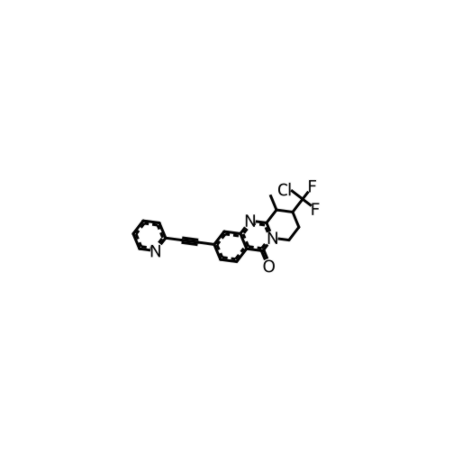 CC1c2nc3cc(C#Cc4ccccn4)ccc3c(=O)n2CCC1C(F)(F)Cl